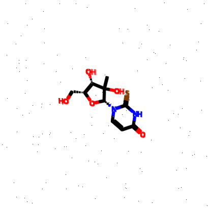 CC1(O)[C@@H](O)[C@@H](CO)O[C@H]1n1ccc(=O)[nH]c1=S